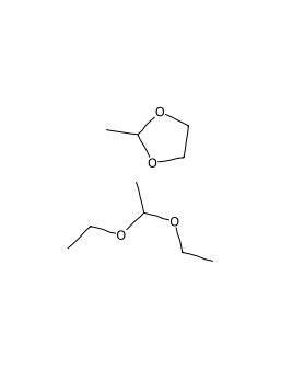 CC1OCCO1.CCOC(C)OCC